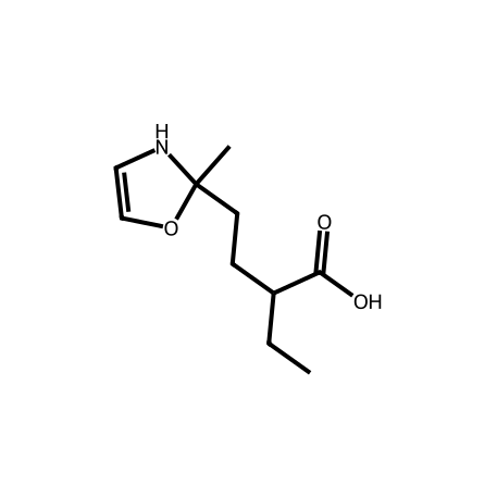 CCC(CCC1(C)NC=CO1)C(=O)O